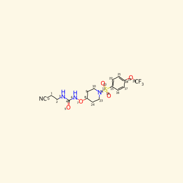 N#CCCNC(=O)NOC1CCN(S(=O)(=O)c2ccc(OC(F)(F)F)cc2)CC1